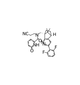 CC1(C)[C@H]2CC[C@]1(CN(CCC#N)C(=O)c1cccc(=O)[nH]1)c1nnc(-c3c(F)cccc3F)cc12